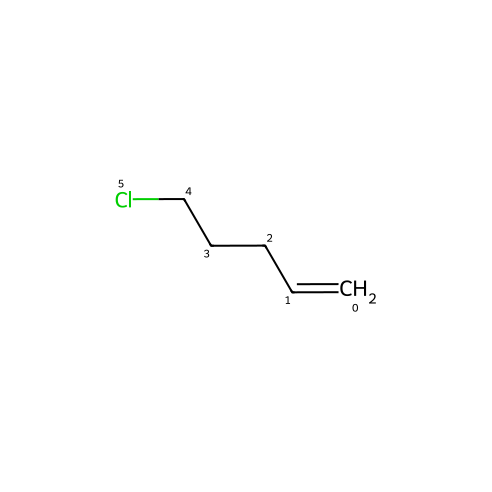 C=CCCCCl